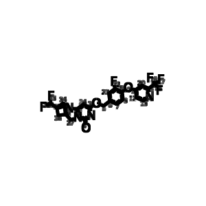 O=c1nc(OCc2ccc(Oc3ccnc(C(F)(F)F)c3)c(F)c2)cc2n1CC13CC(C(F)F)(CN21)C3